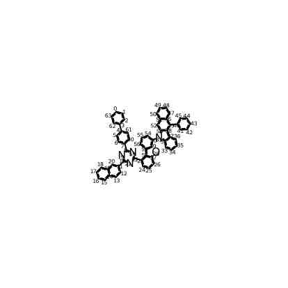 c1ccc(-c2ccc(-c3nc(-c4ccc5ccccc5c4)nc(-c4cccc5oc6c(-n7c8ccccc8c8c(-c9ccccc9)c9ccccc9cc87)cccc6c45)n3)cc2)cc1